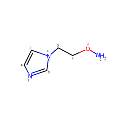 NOCCn1ccnc1